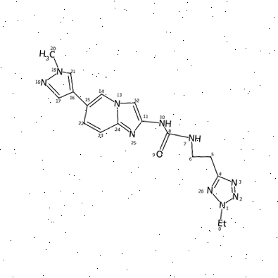 CCn1nnc(CCNC(=O)Nc2cn3cc(-c4cnn(C)c4)ccc3n2)n1